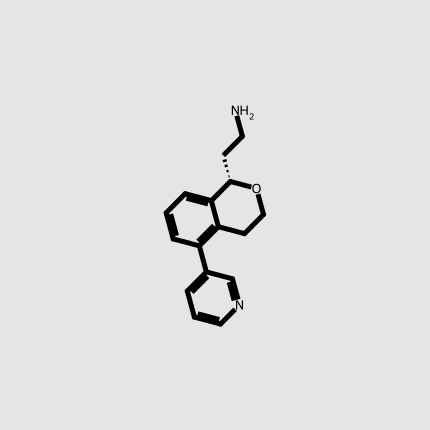 NCC[C@@H]1OCCc2c(-c3cccnc3)cccc21